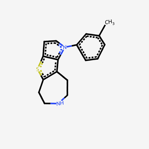 Cc1cccc(-n2ccc3sc4c(c32)CCNCC4)c1